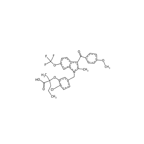 CCCC(C)(Oc1cc(Cn2c(C)c(C(=O)c3ccc(OC)cc3)c3ccc(OC(F)(F)F)cc32)ccc1Cl)C(=O)O